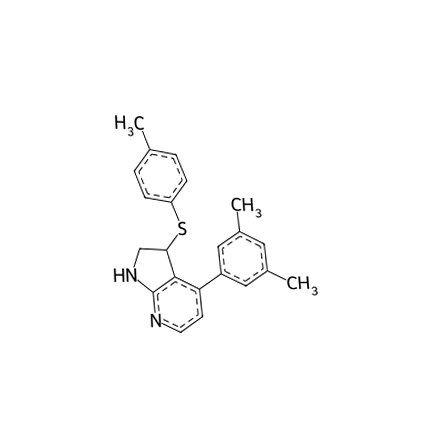 Cc1ccc(SC2CNc3nccc(-c4cc(C)cc(C)c4)c32)cc1